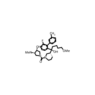 CN[C@@H]1CN(C(=O)N2CCC[C@@H]([C@@](O)(CCCCOC)c3cccc(F)c3-c3cccc(C)c3)C2)C[C@@H]1O